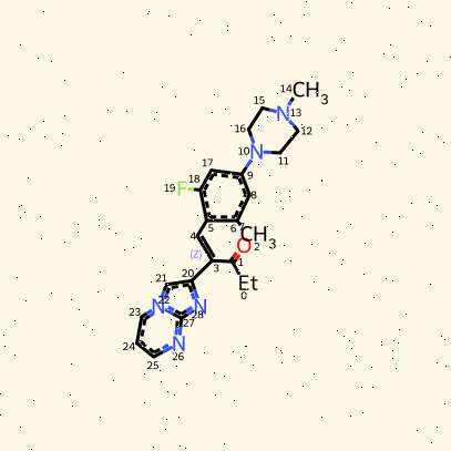 CCC(=O)/C(=C\c1c(C)cc(N2CCN(C)CC2)cc1F)c1cn2cccnc2n1